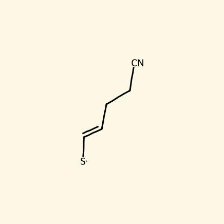 N#CCCC=C[S]